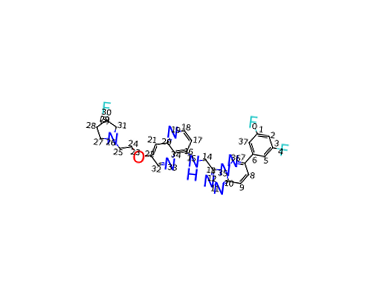 Fc1cc(F)cc(-c2ccc3nnc(CNc4ccnc5cc(OCCN6CC[C@H](F)C6)cnc45)n3n2)c1